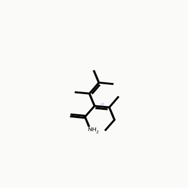 C=C(N)/C(C(C)=C(C)C)=C(/C)CC